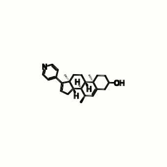 C[C@@H]1C=C2CC(O)CC[C@]2(C)[C@H]2CC[C@]3(C)C(c4ccncc4)=CC[C@H]3[C@H]12